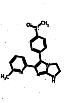 Cc1cccc(-c2nc3n(c2-c2ccc([S+](C)[O-])cc2)CCN3)n1